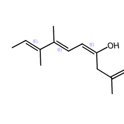 C=C(C)C\C(O)=C/C=C(C)/C(C)=C/C